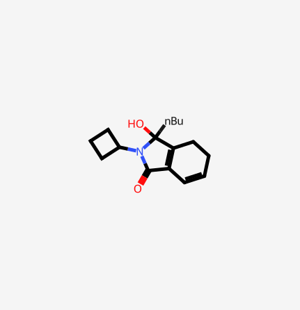 CCCCC1(O)C2=C(C=CCC2)C(=O)N1C1CCC1